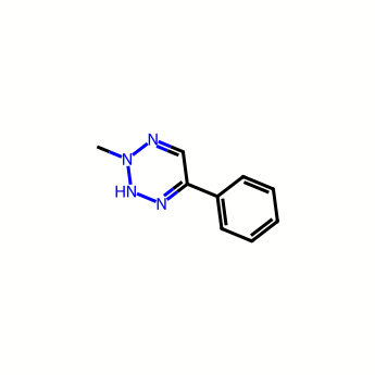 CN1N=CC(c2ccccc2)=NN1